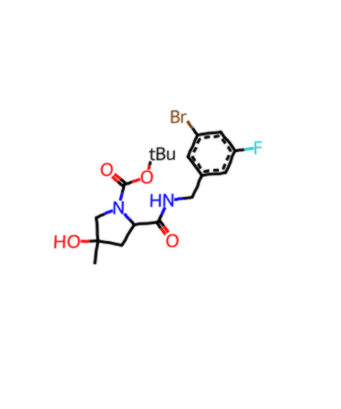 CC1(O)CC(C(=O)NCc2cc(F)cc(Br)c2)N(C(=O)OC(C)(C)C)C1